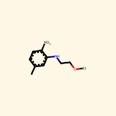 CCOCCNc1cc(C)ccc1[N+](=O)[O-]